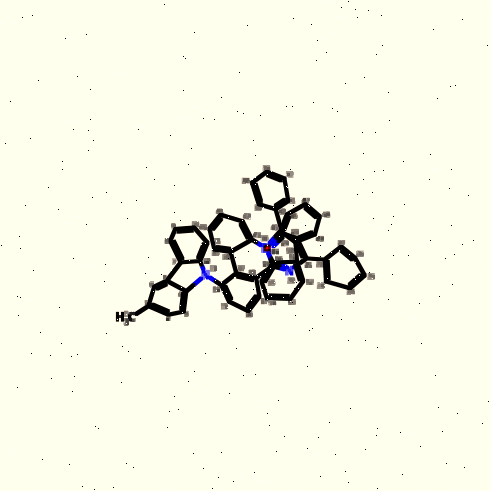 Cc1ccc2c(c1)c1ccccc1n2-c1cccc(-c2nc(-c3ccccc3)cc(-c3ccccc3)n2)c1-c1ccccc1-n1c2ccccc2c2ccccc21